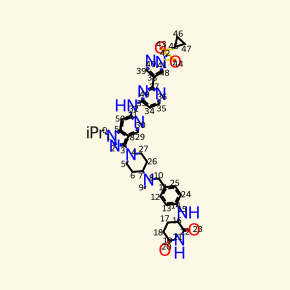 CC(C)n1nc(N2CCC(N(C)Cc3ccc(NC4CCC(=O)NC4=O)cc3)CC2)c2cnc(Nc3ccnc(-c4cnn(S(=O)(=O)C5CC5)c4)n3)cc21